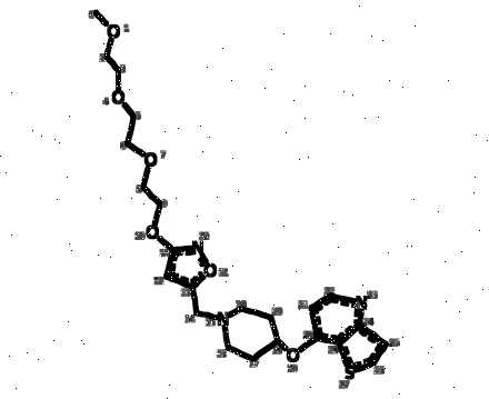 COCCOCCOCCOc1cc(CN2CCC(Oc3ccnc4ccsc34)CC2)on1